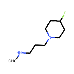 O=[C]NCCCN1CCC(F)CC1